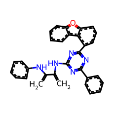 C=C(Nc1ccccc1)C(=C)Nc1nc(-c2ccccc2)nc(-c2cccc3oc4ccccc4c23)n1